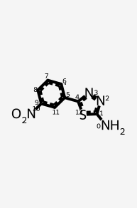 Nc1nnc(-c2[c]ccc([N+](=O)[O-])c2)s1